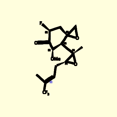 CO[C@@H]1C(=O)[C@@H](F)C[C@]2(CO2)[C@H]1[C@@]1(C)O[C@@H]1C/C=C(\C)C(F)(F)F